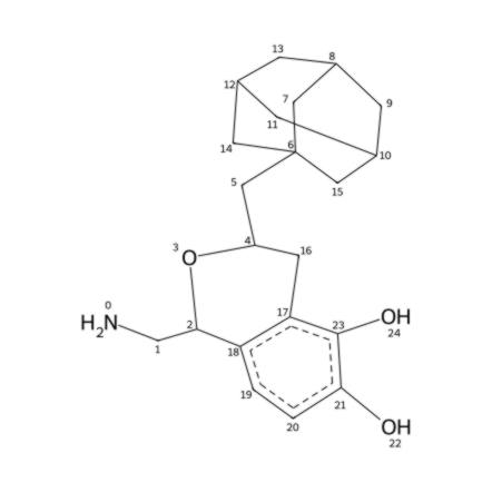 NCC1OC(CC23CC4CC(CC(C4)C2)C3)Cc2c1ccc(O)c2O